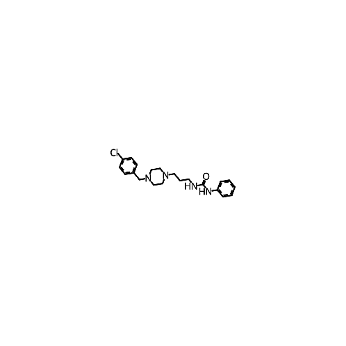 O=C(NCCCN1CCN(Cc2ccc(Cl)cc2)CC1)Nc1ccccc1